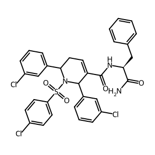 NC(=O)[C@H](Cc1ccccc1)NC(=O)C1=CCC(c2cccc(Cl)c2)N(S(=O)(=O)c2ccc(Cl)cc2)C1c1cccc(Cl)c1